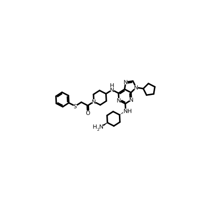 N[C@H]1CC[C@H](Nc2nc(NC3CCN(C(=O)CSc4ccccc4)CC3)c3ncn(C4CCCC4)c3n2)CC1